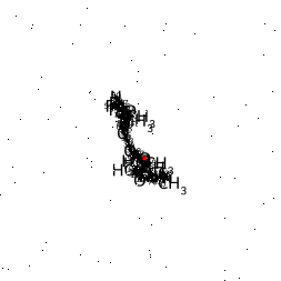 Cc1ncsc1-c1ccc(CNC(=O)[C@@H]2C[C@@H](O)CN2C(=O)[C@@H](NC(=O)c2ccc(OCCCCCOc3ccc(N4C(=S)C(c5ccc(C#N)c(C(F)(F)F)c5)C(=O)C4(C)C)cc3)cc2)C(C)(C)C)cc1